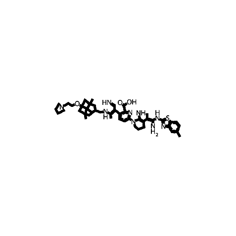 C/C(NCC12CC3(C)CC4(OCCN5CCCC5)CC(C)(C1)C34C2)=C(/C=N)c1ccc(N2CCCC(/C(C)=C(\N)Nc3nc4cc(C)ccc4s3)=C2N)nc1C(=O)O